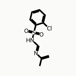 C=C(C)/N=C/NS(=O)(=O)c1ccccc1Cl